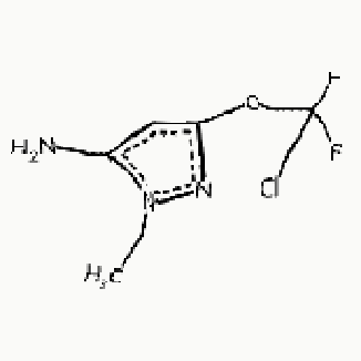 Cn1nc(OC(F)(F)Cl)cc1N